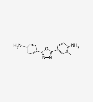 Cc1cc(-c2nnc(-c3ccc(N)cc3)o2)ccc1N